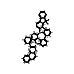 CC1(C)c2ccccc2-c2ccc3c(c21)c1cccc2c4cccc5c4c4c(cccc4n3c21)n5-c1nc2ccc3ccccc3c2nc1-c1ccccc1